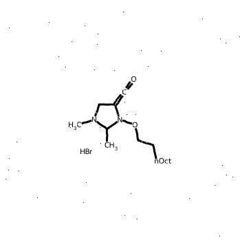 Br.CCCCCCCCCCON1C(=C=O)CN(C)C1C